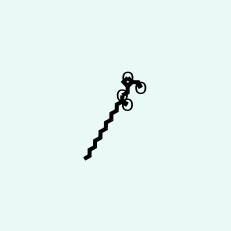 CCCCCCCCCCCCCC(=O)OCC1COC1C=O